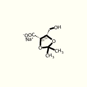 CC1(C)O[C@@H](CO)[C@@H](C(=O)[O-])O1.[Na+]